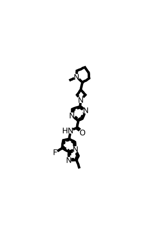 Cc1cn2cc(NC(=O)c3cnc(N4CC(C5CCCCN5C)C4)cn3)cc(F)c2n1